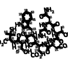 C[C@@H](O)[C@H](NC(=O)[C@H](CC(N)=O)NC(=O)CN)C(=O)N[C@@H](CC(=O)O)C(=O)N[C@@H](CC(=O)O)C(=O)N[C@@H](Cc1c[nH]c2ccccc12)C(=O)N[C@H](C(=O)N[C@H](C(=O)O)C(C)(C)S)[C@@H](C)O